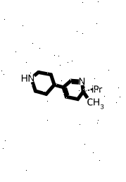 CC(C)[C@]1(C)CC=C(C2CCNCC2)C=N1